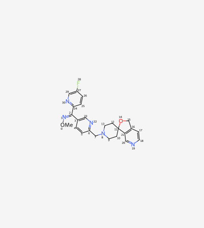 CO/N=C(\c1ccc(CN2CCC3(CC2)OCc2ccncc23)nc1)c1ccc(F)cn1